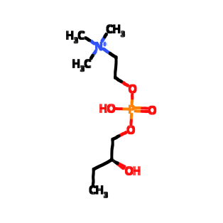 CC[C@H](O)COP(=O)(O)OCC[N+](C)(C)C